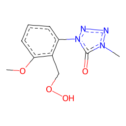 COc1cccc(-n2nnn(C)c2=O)c1COO